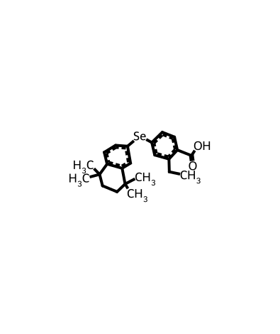 CCc1cc([Se]c2ccc3c(c2)C(C)(C)CCC3(C)C)ccc1C(=O)O